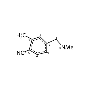 CNCc1ccc(C#N)c(C)c1